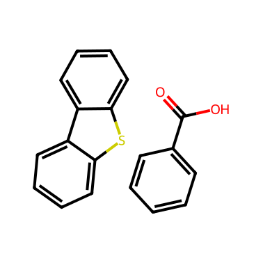 O=C(O)c1ccccc1.c1ccc2c(c1)sc1ccccc12